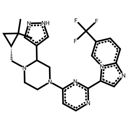 CC1(C)C[C@H]1CN1CCN(c2ccnc(-c3cnc4ccc(C(F)(F)F)cn34)n2)CC1c1cn[nH]c1